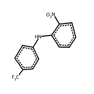 O=[N+]([O-])c1ccccc1Nc1ccc(C(F)(F)F)cc1